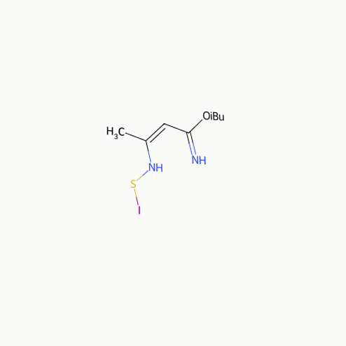 C/C(=C/C(=N)OCC(C)C)NSI